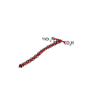 [N-]=[N+]=NCCOCCOCCOCCOCCOCCOCCOCCOCCOCCOCCOCCOCCOCCOCCOCCOCCOCCOCCOCCOCCOCCOCCOCCNC(=O)C(CCCCCCCCCCC(=O)O)CCCCCCCCCCC(=O)O